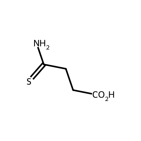 NC(=S)CCC(=O)O